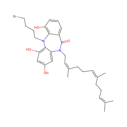 CC(C)=CCCC(C)=CCCC(C)=CCN1C(=O)c2cccc(O)c2N(CCCCBr)c2c(O)cc(O)cc21